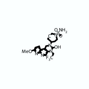 COc1ccc2c3c(cnc2n1)N(CC(F)(F)F)C(O)N(C1CCCN(S(N)(=O)=O)CC1)C3